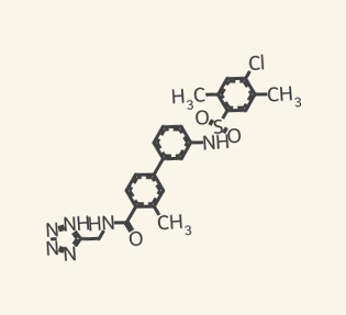 Cc1cc(S(=O)(=O)Nc2cccc(-c3ccc(C(=O)NCc4nnn[nH]4)c(C)c3)c2)c(C)cc1Cl